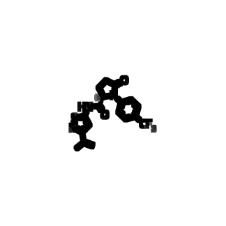 C=C(C)c1cc(NC(=O)[C@@H]2CCC(=O)N2c2ccc(C(F)(F)F)cc2)sn1